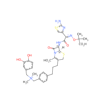 CC(C)(O/N=C(\C(=O)N[C@@H]1C(=O)N2C(C(=O)O)=C(CCCc3ccc(C[N+](C)(C)Cc4ccc(O)c(O)c4)cc3)CS[C@H]12)c1csc(N)n1)C(=O)O